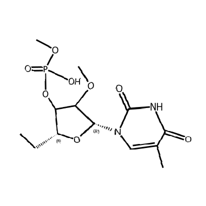 CC[C@H]1O[C@@H](n2cc(C)c(=O)[nH]c2=O)C(OC)C1OP(=O)(O)OC